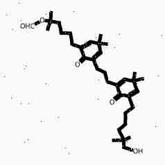 CC1(C)C=C(CCCCC(C)(C)CO)C(=O)C(CCCC2=CC(C)(C)C=C(CCCCC(C)(C)OC=O)C2=O)=C1